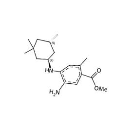 COC(=O)c1cc(N)c(N[C@@H]2C[C@@H](C)CC(C)(C)C2)cc1C